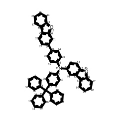 c1ccc(C(c2ccccc2)(c2ccccc2)c2ccc(N(c3ccc(-c4ccc5c(c4)oc4ccccc45)cc3)c3ccc4oc5ccccc5c4c3)cc2)cc1